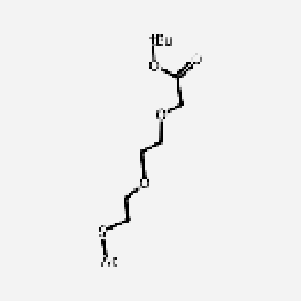 CC(=O)SCCOCCOCC(=O)OC(C)(C)C